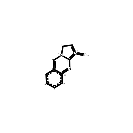 O=S1=CCN2C=c3ccccc3=NC=12